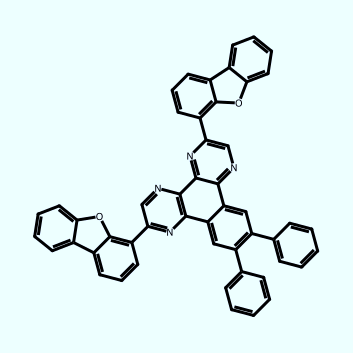 c1ccc(-c2cc3c(cc2-c2ccccc2)c2ncc(-c4cccc5c4oc4ccccc45)nc2c2ncc(-c4cccc5c4oc4ccccc45)nc32)cc1